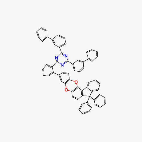 c1ccc(-c2cccc(-c3nc(-c4cccc(-c5ccccc5)c4)nc(-c4ccccc4-c4ccc5c(c4)Oc4ccc6c(c4O5)-c4ccccc4C6(c4ccccc4)c4ccccc4)n3)c2)cc1